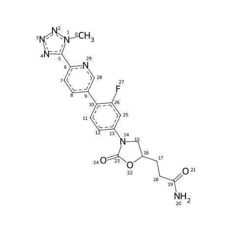 Cn1nnnc1-c1ccc(-c2ccc(N3CC(CCC(N)=O)OC3=O)cc2F)cn1